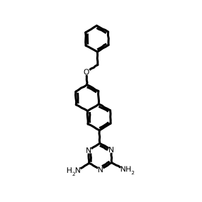 Nc1nc(N)nc(-c2ccc3cc(OCc4ccccc4)ccc3c2)n1